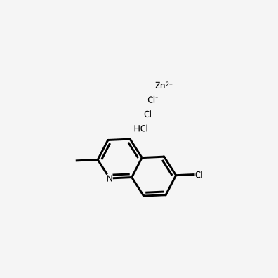 Cc1ccc2cc(Cl)ccc2n1.Cl.[Cl-].[Cl-].[Zn+2]